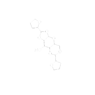 OC1C2OC(C3CCCO3)OCC2OC2OC(C3CCCO3)OC21